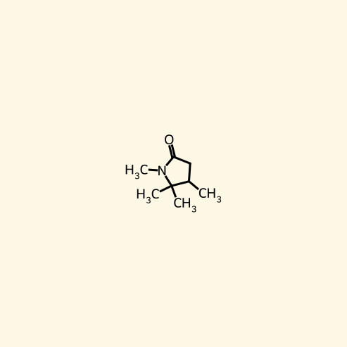 CC1CC(=O)N(C)C1(C)C